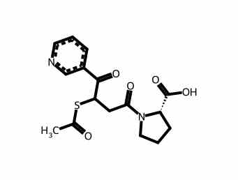 CC(=O)SC(CC(=O)N1CCC[C@H]1C(=O)O)C(=O)c1cccnc1